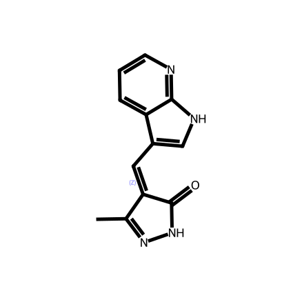 CC1=NNC(=O)/C1=C\c1c[nH]c2ncccc12